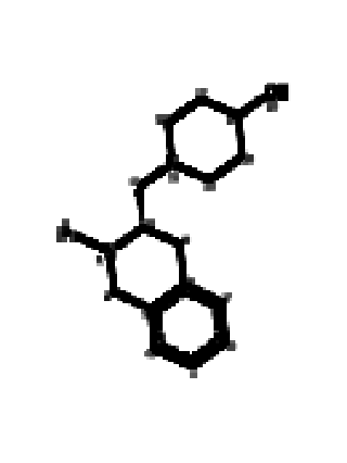 CC(C)N1Cc2ccccc2C[C@H]1CN1CCC(O)CC1